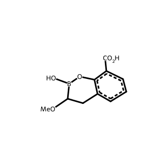 COC1Cc2cccc(C(=O)O)c2OB1O